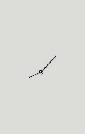 CCCCCCCCCCCCCCCCCCN1C=CN(CCCCCCCCCCC)C1C(C)C